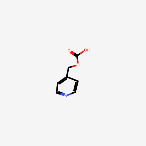 O=C(O)OCc1ccncc1